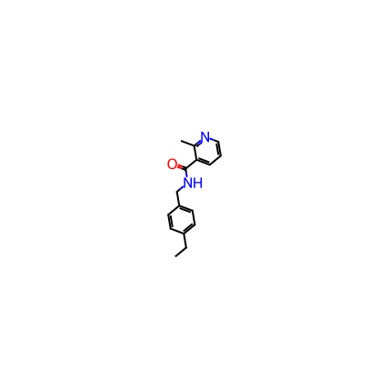 CCc1ccc(CNC(=O)c2cccnc2C)cc1